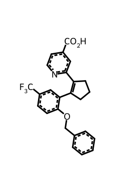 O=C(O)c1ccnc(C2=C(c3cc(C(F)(F)F)ccc3OCc3ccccc3)CCC2)c1